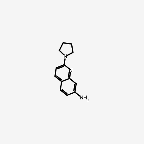 Nc1ccc2ccc(N3CCCC3)nc2c1